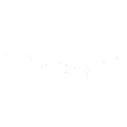 CCOC(=O)CNCCC(=O)N1CCC(Nc2cc(C)nc(NCc3cc(CCCNCCCNC4CCCCC4)n[nH]3)n2)CC1